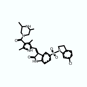 Cc1[nH]c(/C=C2\C(=O)Nc3ccc(S(=O)(=O)N4CCc5ccc(Cl)cc54)cc32)c(C)c1C(=O)N1CC(C)NC(C)C1